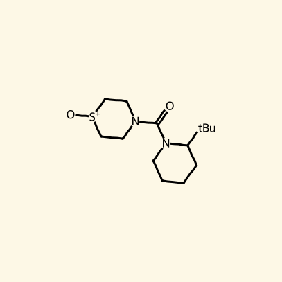 CC(C)(C)C1CCCCN1C(=O)N1CC[S+]([O-])CC1